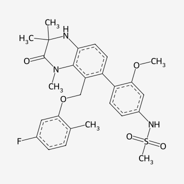 COc1cc(NS(C)(=O)=O)ccc1-c1ccc2c(c1COc1cc(F)ccc1C)N(C)C(=O)C(C)(C)N2